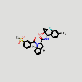 CCS(=O)(=O)c1cccc(C(=O)N2[C@@H](C(=O)N[C@@H](c3ccc(C(F)(F)F)cc3F)C3(O)CC3)C[C@H]3C#CC[C@H]32)c1